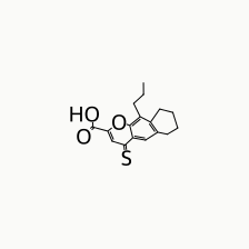 CCCc1c2c(cc3c(=S)cc(C(=O)O)oc13)CCCC2